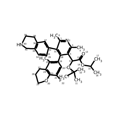 Cc1nc(C)c(C(OC(C)(C)C)C(=O)OC(C)C)c(-c2cc(F)c3c(c2C)CCCO3)c1-c1ccc2c(c1)CCNC2